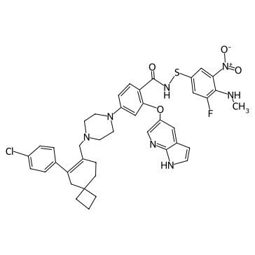 CNc1c(F)cc(SNC(=O)c2ccc(N3CCN(CC4=C(c5ccc(Cl)cc5)CC5(CCC5)CC4)CC3)cc2Oc2cnc3[nH]ccc3c2)cc1[N+](=O)[O-]